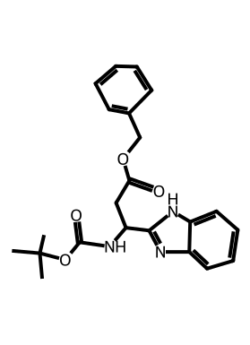 CC(C)(C)OC(=O)NC(CC(=O)OCc1ccccc1)c1nc2ccccc2[nH]1